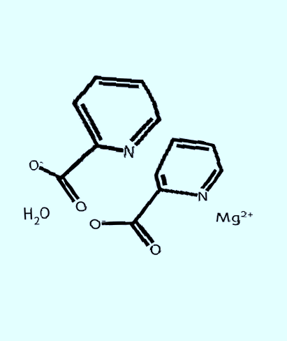 O.O=C([O-])c1ccccn1.O=C([O-])c1ccccn1.[Mg+2]